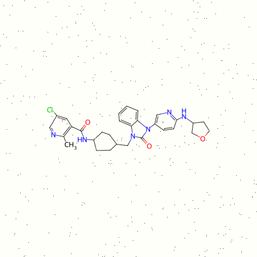 Cc1ncc(Cl)cc1C(=O)NC1CCC(Cn2c(=O)n(-c3ccc(NC4CCOC4)nc3)c3ccccc32)CC1